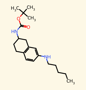 CCCCCNc1ccc2c(c1)CC(NC(=O)OC(C)(C)C)CC2